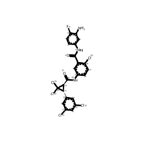 Nc1cc(NC(=O)c2cc(NC(=O)[C@H]3[C@H](c4cc(Cl)cc(Cl)c4)C3(Cl)Cl)ccc2Cl)ccc1F